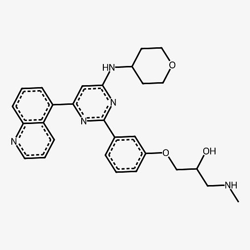 CNCC(O)COc1cccc(-c2nc(NC3CCOCC3)cc(-c3cccc4ncccc34)n2)c1